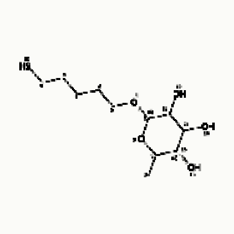 CC1O[C@H](OCCCCCS)C(O)C(O)[C@@H]1O